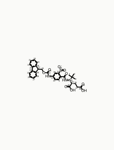 CC(C)(C)N(NC(=O)c1ccc(NC(=O)OCC2c3ccccc3-c3ccccc32)cc1[N+](=O)[O-])[C@@H](CCC(=O)O)C(=O)O